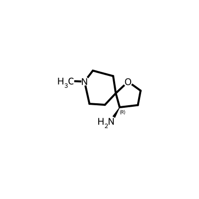 CN1CCC2(CC1)OCC[C@H]2N